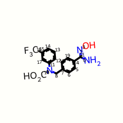 N/C(=N\O)c1ccc(CN(C(=O)O)c2cccc(C(F)(F)F)c2)cc1